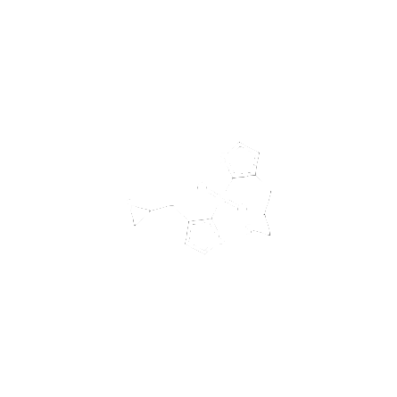 O=S(=O)(c1sccc1CC1CS1)c1sccc1CC1CS1